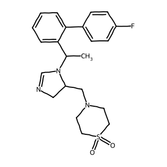 CC(c1ccccc1-c1ccc(F)cc1)N1C=NCC1CN1CCS(=O)(=O)CC1